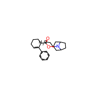 CCCN1C2CCC1CC(OC(=O)C1CCCC=C1c1ccccc1)C2